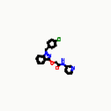 O=C(COc1nn(Cc2ccc(Cl)cc2)c2ccccc12)Nc1cccnc1